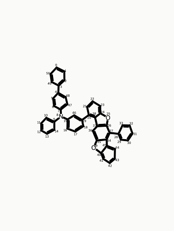 c1ccc(-c2ccc(N(c3ccccc3)c3cccc(-c4cccc5oc6c(-c7ccccc7)c7c(cc6c45)oc4ccccc47)c3)cc2)cc1